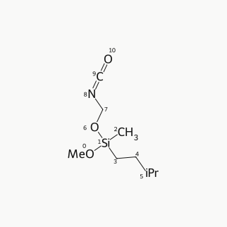 CO[Si](C)(CCC(C)C)OCN=C=O